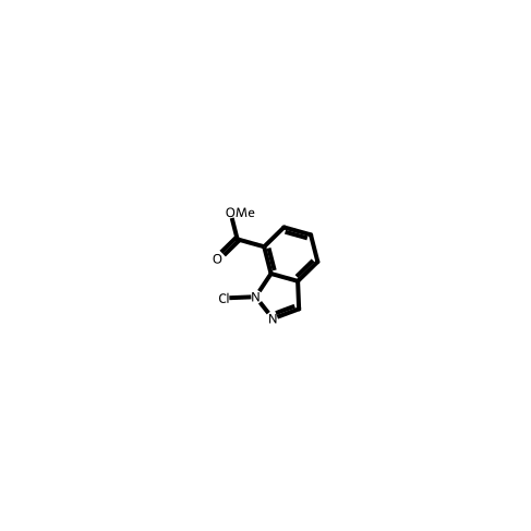 COC(=O)c1cccc2cnn(Cl)c12